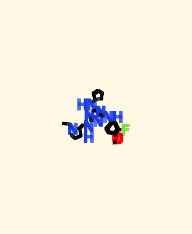 CCN1CCCC1CNc1nc(Nc2ccc(OC)c(F)c2)nc(NC2C=CCC2)n1